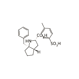 Cc1ccc(S(=O)(=O)O)cc1.O=C(O)[C@@H]1C[C@@H]2CCC[C@@]2(Cc2ccccc2)N1